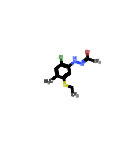 Cc1cc(Cl)c(NN=C(Br)C(F)(F)F)cc1SCC(F)(F)F